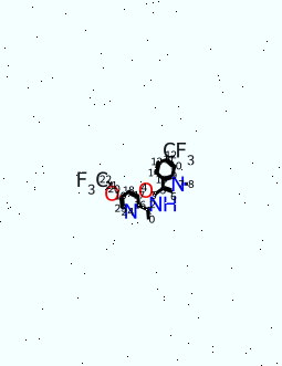 CC(NC(=O)c1cn(C)c2cc(C(F)(F)F)ccc12)c1ccc(OCC(F)(F)F)cn1